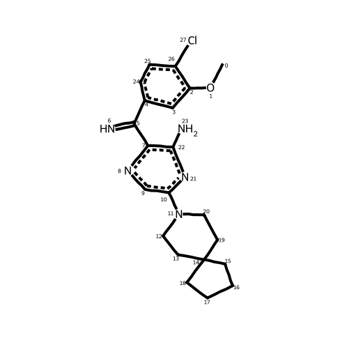 COc1cc(C(=N)c2ncc(N3CCC4(CCCC4)CC3)nc2N)ccc1Cl